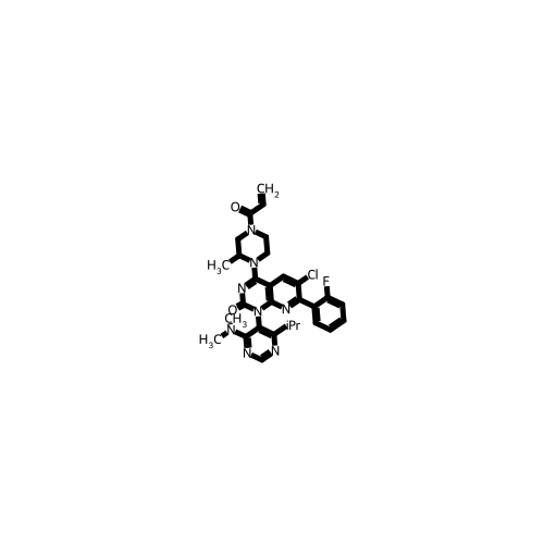 C=CC(=O)N1CCN(c2nc(=O)n(-c3c(C(C)C)ncnc3N(C)C)c3nc(-c4ccccc4F)c(Cl)cc23)C(C)C1